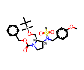 COc1ccc(CN([C@H]2CCN(C(=O)OCc3ccccc3)[C@H]2CO[Si](C)(C)C(C)(C)C)S(C)(=O)=O)cc1